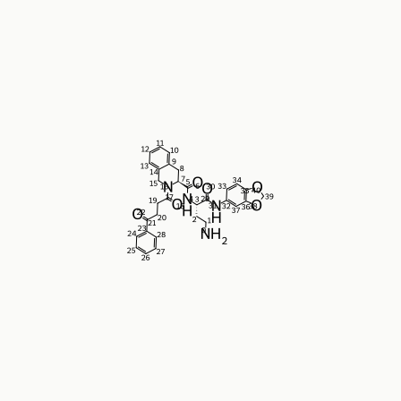 NCC[C@H](NC(=O)[C@@H]1Cc2ccccc2CN1C(=O)CCC(=O)c1ccccc1)C(=O)Nc1ccc2c(c1)OCO2